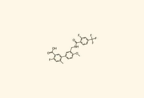 COc1ccc(-c2cc(C(=O)O)c(F)cc2C)cc1CNC(=O)c1ccc(C(F)(F)F)cc1F